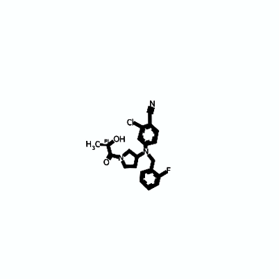 C[C@@H](O)C(=O)N1CCC(N(Cc2ccccc2F)c2ccc(C#N)c(Cl)c2)C1